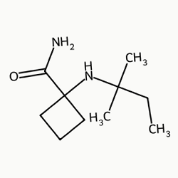 CCC(C)(C)NC1(C(N)=O)CCC1